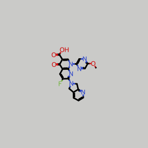 COc1cnc(-n2cc(C(=O)O)c(=O)c3cc(F)c(N4Cc5cccnc5C4)nc32)cn1